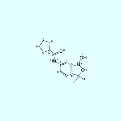 CC1(C)OB(O)c2cc(NC(=O)C3CCCC3)ccc21